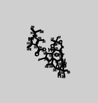 CC1=CC23C(=O)[C@@H](C=C4COC(C)(C)O[C@H]4[C@]2(O)[C@H]1OC(=O)c1c(C)nn(C(C)C)c1C)[C@H]1[C@@H](CC3C)C1(C)C